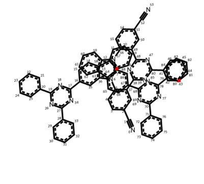 N#Cc1ccc(-n2c3ccccc3c3ccc(-c4nc(-c5ccccc5)nc(-c5ccccc5)n4)cc32)c(-c2nc(-c3ccccc3)nc(-c3cc(C#N)ccc3-n3c4ccccc4c4ccc(-c5nc(-c6ccccc6)nc(-c6ccccc6)n5)cc43)n2)c1